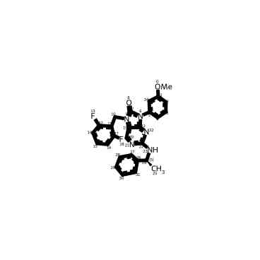 COc1cccc(-n2c(=O)n(Cc3c(F)cccc3F)c3cnc(N[C@@H](C)c4ccccc4)nc32)c1